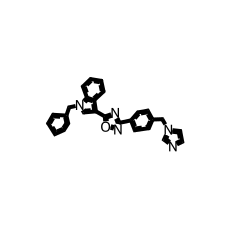 c1ccc(Cn2cc(-c3nc(-c4ccc(Cn5ccnc5)cc4)no3)c3ccccc32)cc1